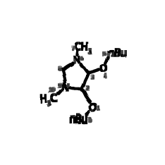 CCCCOC1C(OCCCC)N(C)CN1C